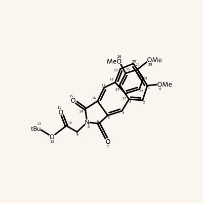 COc1cc(/C=C2/C(=O)N(CC(=O)OC(C)(C)C)C(=O)/C2=C/c2ccccc2)cc(OC)c1OC